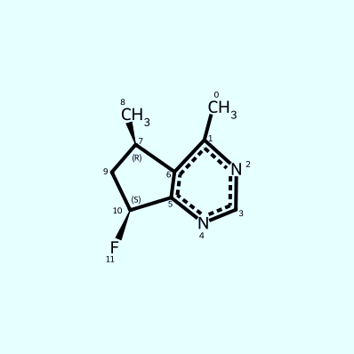 Cc1ncnc2c1[C@H](C)C[C@@H]2F